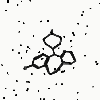 Clc1ccc2c(c1)CCc1cccnc1C2C1CCNCC1